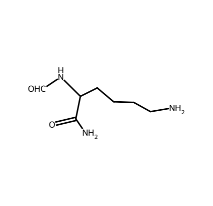 NCCCCC(NC=O)C(N)=O